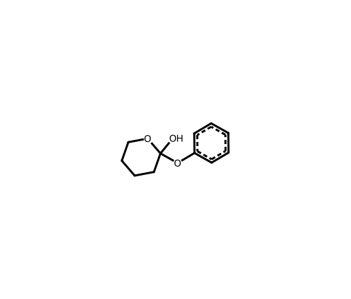 OC1(Oc2ccccc2)CCCCO1